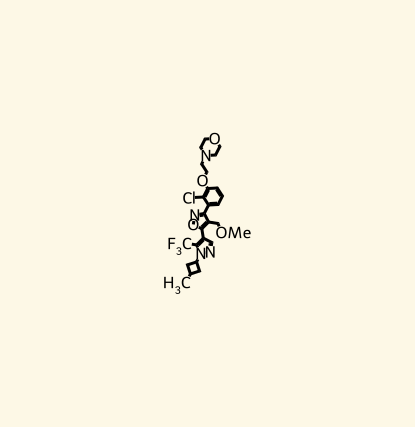 COCc1c(-c2cccc(OCCN3CCOCC3)c2Cl)noc1-c1cnn(C2CC(C)C2)c1C(F)(F)F